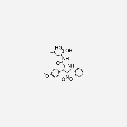 COc1ccc(C2C(C(=O)NC(CC(C)C)B(O)O)N[C@H](c3ccccc3)[C@@H]2[N+](=O)[O-])cc1